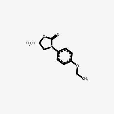 [CH2][C@H]1CN(c2ccc(OCC)cc2)C(=O)O1